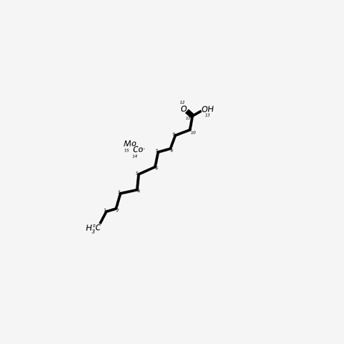 CCCCCCCCCCCC(=O)O.[Co].[Mo]